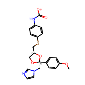 COc1ccc([C@@]2(Cn3ccnc3)OC[C@@H](CSc3ccc(NC(=O)O)cc3)O2)cc1